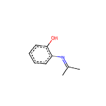 CC(C)=Nc1ccccc1O